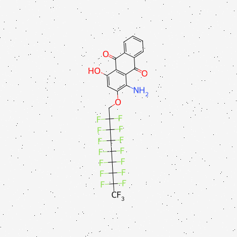 Nc1c(OCC(F)(F)C(F)(F)C(F)(F)C(F)(F)C(F)(F)C(F)(F)C(F)(F)C(F)(F)F)cc(O)c2c1C(=O)c1ccccc1C2=O